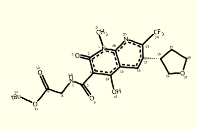 Cn1c(=O)c(C(=O)NCC(=O)OC(C)(C)C)c(O)c2cc([C@@H]3CCOC3)c(C(F)(F)F)nc21